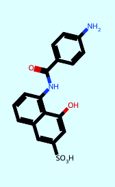 Nc1ccc(C(=O)Nc2cccc3cc(S(=O)(=O)O)cc(O)c23)cc1